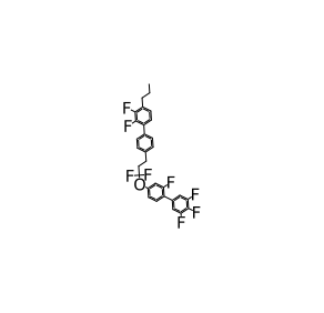 CCCc1ccc(-c2ccc(CCC(F)(F)Oc3ccc(-c4cc(F)c(F)c(F)c4)c(F)c3)cc2)c(F)c1F